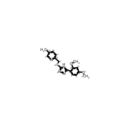 COc1ccc(-c2nnc(SCc3ccc(C)cn3)[nH]2)c(OC)c1